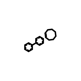 C1=CCCCCCC1.c1ccc(-c2ccccc2)cc1